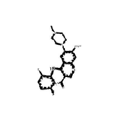 COc1cc2ncc(C(N)=O)c(Nc3cc(F)ccc3F)c2cc1N1CCN(C)CC1